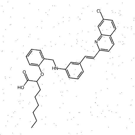 CCCCCCC(Oc1ccccc1CNc1cccc(C=Cc2ccc3ccc(Cl)cc3n2)c1)C(=O)O